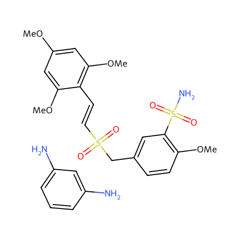 COc1cc(OC)c(C=CS(=O)(=O)Cc2ccc(OC)c(S(N)(=O)=O)c2)c(OC)c1.Nc1cccc(N)c1